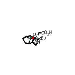 CC(C)(C)OC(=O)N1C2CCC1c1cnn(CC(=O)O)c1C2